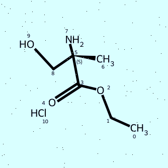 CCOC(=O)[C@@](C)(N)CO.Cl